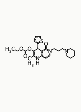 CCOC(=O)OC1=C(C)Nc2ccn(CCCN3CCCCC3)c(=O)c2C1c1cccs1